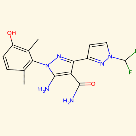 Cc1ccc(O)c(C)c1-n1nc(-c2ccn(C(F)F)n2)c(C(N)=O)c1N